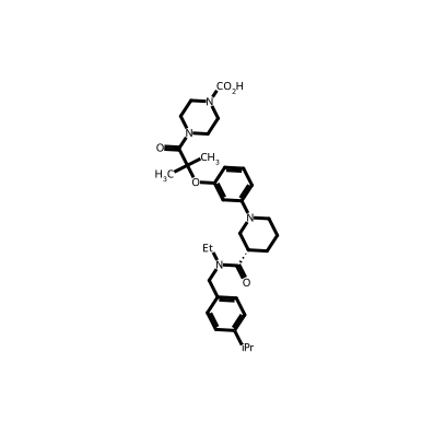 CCN(Cc1ccc(C(C)C)cc1)C(=O)[C@H]1CCCN(c2cccc(OC(C)(C)C(=O)N3CCN(C(=O)O)CC3)c2)C1